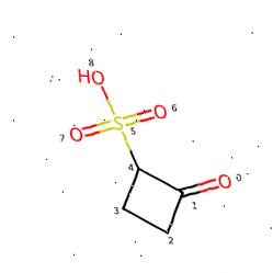 O=C1CCC1S(=O)(=O)O